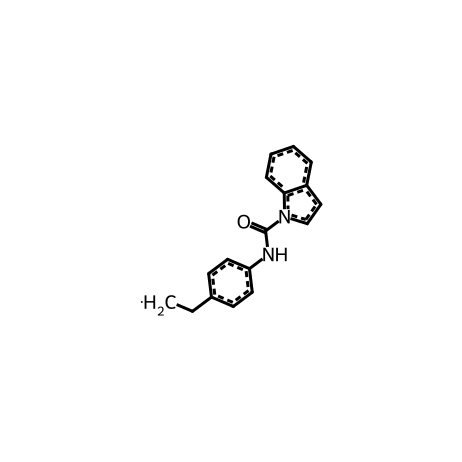 [CH2]Cc1ccc(NC(=O)n2ccc3ccccc32)cc1